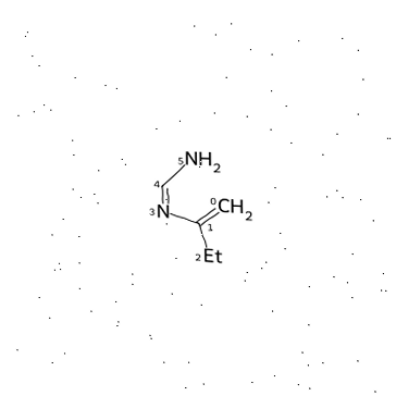 C=C(CC)/N=C\N